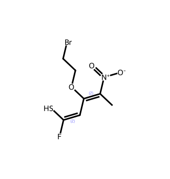 C/C(=C(\C=C(\F)S)OCCBr)[N+](=O)[O-]